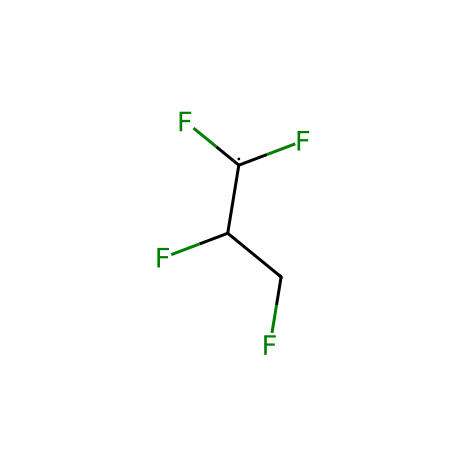 FCC(F)[C](F)F